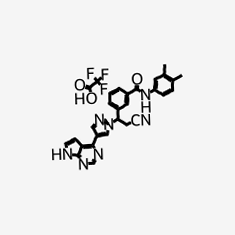 Cc1ccc(NC(=O)c2cccc(C(CC#N)n3cc(-c4ncnc5[nH]ccc45)cn3)c2)cc1C.O=C(O)C(F)(F)F